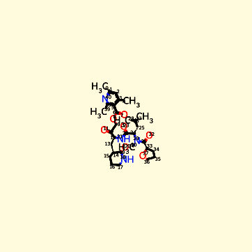 Cc1cc(C)c(C(=O)OCC(=O)[C@H](C[C@@H]2CCCNC2=O)NC(=O)[C@H](CC(C)C)N(C)C(=O)[C@H]2CCCO2)c(C)n1